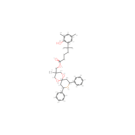 CCC1(COC(=O)CCCC(C)(C)c2cc(C)cc(C)c2O)COC2(CC(c3ccccc3)SC(c3ccccc3)C2)OC1